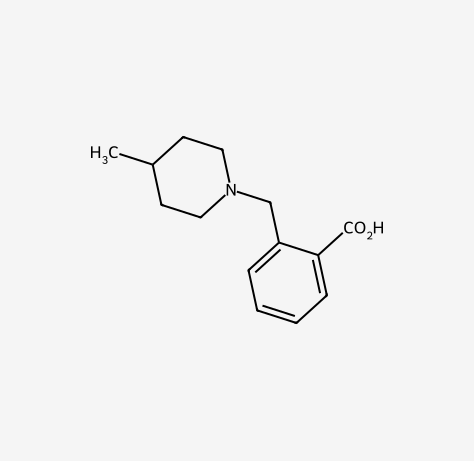 CC1CCN(Cc2ccccc2C(=O)O)CC1